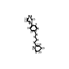 C1=NC(CCCCc2ccc(-n3ccnc3)cc2)=CCC1